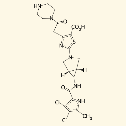 Cc1[nH]c(C(=O)N[C@@H]2[C@@H]3CN(c4nc(CC(=O)N5CCNCC5)c(C(=O)O)s4)C[C@@H]32)c(Cl)c1Cl